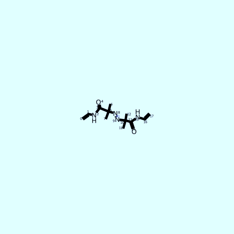 C=CNC(=O)C(C)(C)/N=N/C(C)(C)C(=O)NC=C